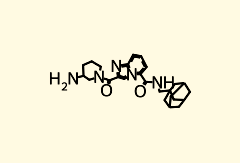 NC1CCCN(C(=O)c2cn3c(C(=O)NCC45CC6CC(CC(C6)C4)C5)cccc3n2)C1